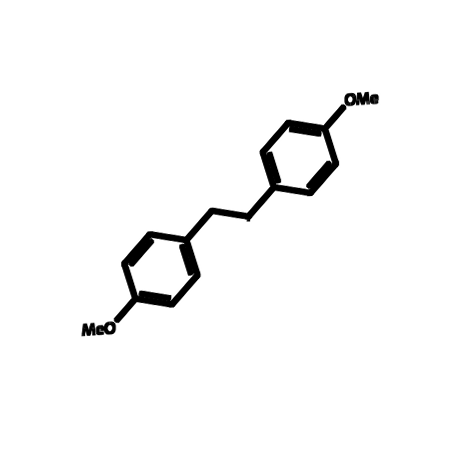 COc1ccc([CH]Cc2ccc(OC)cc2)cc1